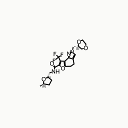 C[C@@H]1CC[C@@H](CNC(=O)c2oc3c(c2C(F)(F)F)-c2nn(C[C@H]4COCCO4)cc2CC3)O1